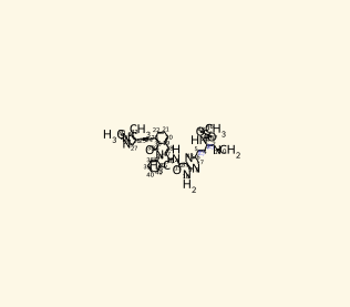 C=N/C=C(\C=C\c1cnc(N)c(C(=O)N[C@H](C)c2cc3cccc(C#Cc4cnn(C)c4C)c3c(=O)n2-c2ccccc2)n1)NS(C)(=O)=O